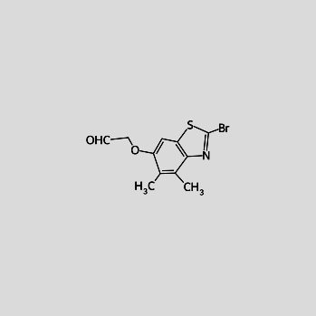 Cc1c(OCC=O)cc2sc(Br)nc2c1C